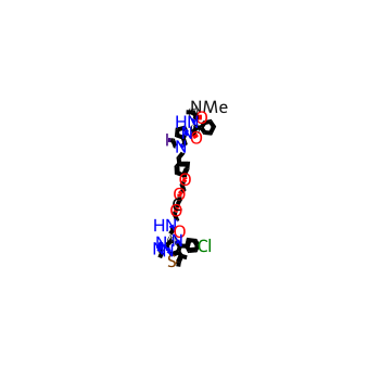 CN[C@@H](C)C(=O)N[C@H](C(=O)N1CCCC1CN(CCI)CCc1ccc(OCCOCCOCCNC(=O)C[C@@H]2N=C(c3ccc(Cl)cc3)c3c(sc(C)c3C)-n3c(C)nnc32)cc1)C1CCCCC1